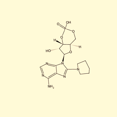 Nc1ncnc2c1nc(N1CCCCC1)n2[C@@H]1O[C@@H]2COP(=O)(O)O[C@H]2[C@H]1O